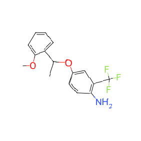 COc1ccccc1C(C)Oc1ccc(N)c(C(F)(F)F)c1